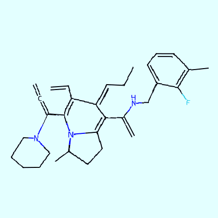 C=C=C(C1=C(C=C)/C(=C/CC)C(C(=C)NCc2cccc(C)c2F)=C2CCC(C)N21)N1CCCCC1